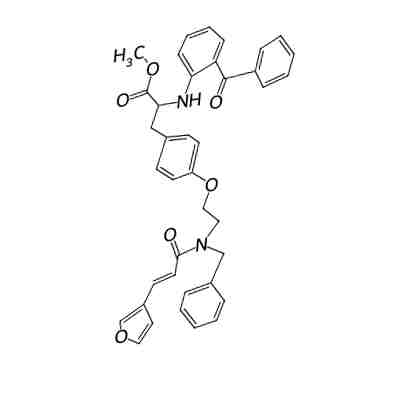 COC(=O)C(Cc1ccc(OCCN(Cc2ccccc2)C(=O)C=Cc2ccoc2)cc1)Nc1ccccc1C(=O)c1ccccc1